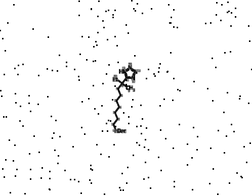 CCCCCCCCCCCCCCCCCC(C)(CC)c1nnn[nH]1